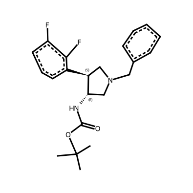 CC(C)(C)OC(=O)N[C@H]1CN(Cc2ccccc2)C[C@@H]1c1cccc(F)c1F